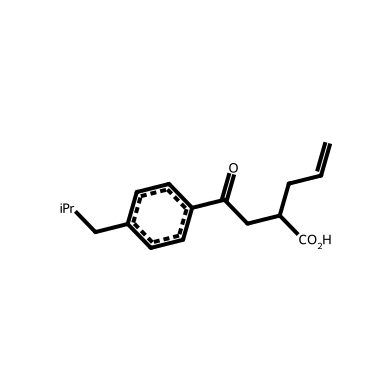 C=CCC(CC(=O)c1ccc(CC(C)C)cc1)C(=O)O